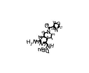 CCCCNc1nc(N)nc2c1CCN(C(=O)c1cocn1)C2